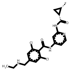 CCNCc1cc(Cl)c(C(=O)Nc2ccnc(NC(=O)[C@@H]3C[C@@H]3F)c2)c(Cl)c1